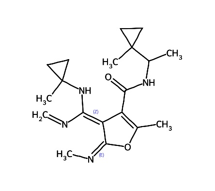 C=N/C(NC1(C)CC1)=C1/C(C(=O)NC(C)C2(C)CC2)=C(C)O/C1=N/C